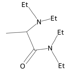 CCN(CC)C(=O)C(C)N(CC)CC